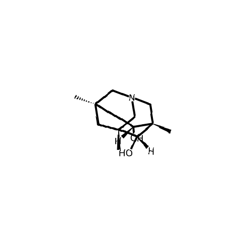 C[C@]12CN3C[C@](C)(C1)[C@@H](O)[C@](C)(C3)[C@@H]2O